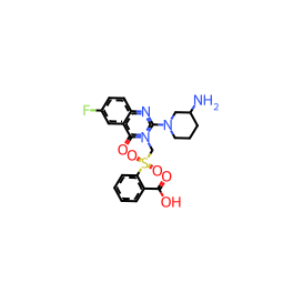 NC1CCCN(c2nc3ccc(F)cc3c(=O)n2CS(=O)(=O)c2ccccc2C(=O)O)C1